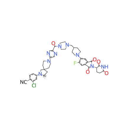 C[C@H]1CC2(CCN(c3cnc(C(=O)N4CCN(CC5CCN(c6cc7c(cc6F)C(=O)N(C6CCC(=O)NC6=O)C7=O)CC5)CC4)cn3)CC2)CN1c1ccc(C#N)c(Cl)c1